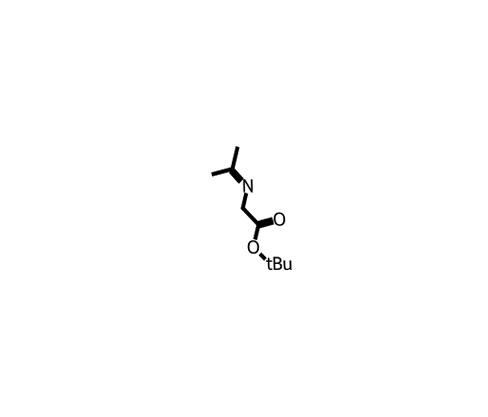 CC(C)=NCC(=O)OC(C)(C)C